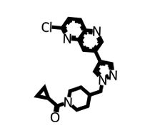 O=C(C1CC1)N1CCC(Cn2cc(-c3cnc4ccc(Cl)nc4c3)cn2)CC1